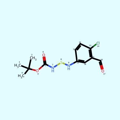 CC(C)(C)OC(=O)NSNc1ccc(Cl)c(C=O)c1